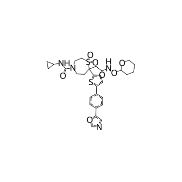 O=C(CC1(c2ccc(-c3ccc(-c4cnco4)cc3)s2)CCN(C(=O)NC2CC2)CCS1(=O)=O)NOC1CCCCO1